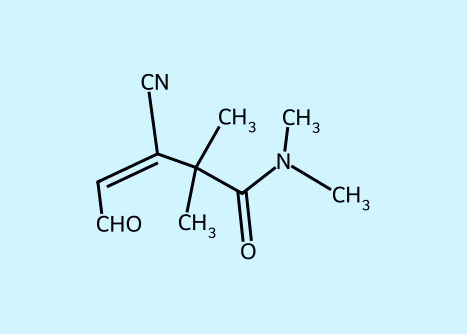 CN(C)C(=O)C(C)(C)C(C#N)=CC=O